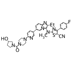 CCc1nc2ccc(-c3ccc(N4CCN(C(=O)N5CCC(O)C5)CC4)nc3)cn2c1N(C)c1nc(-c2ccc(F)cc2)c(C#N)s1